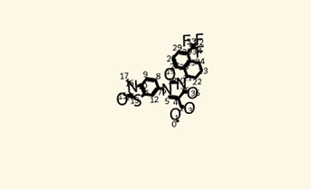 COC(=O)c1cn(-c2ccc3c(c2)sc(=O)n3C)c(=O)n(C2CCCc3c2cccc3C(F)(F)F)c1=O